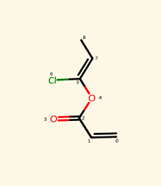 C=CC(=O)OC(Cl)=CC